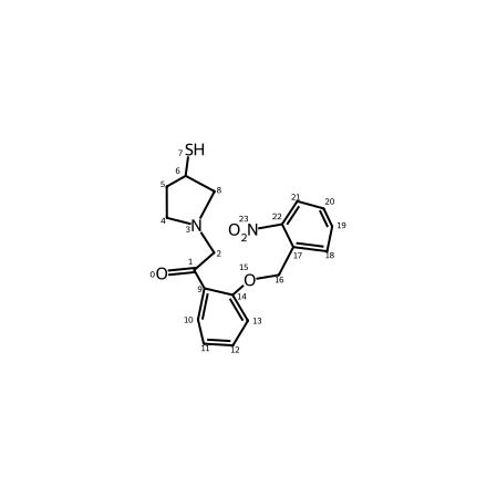 O=C(CN1CCC(S)C1)c1ccccc1OCc1ccccc1[N+](=O)[O-]